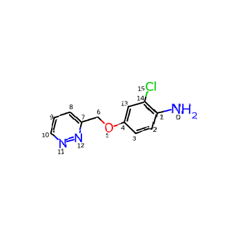 Nc1ccc(OCc2cccnn2)cc1Cl